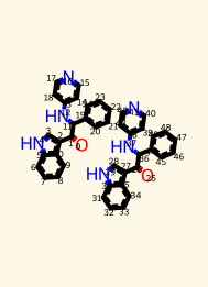 O=C(c1c[nH]c2ccccc12)C(Nc1ccncc1)c1ccccc1.O=C(c1c[nH]c2ccccc12)C(Nc1ccncc1)c1ccccc1